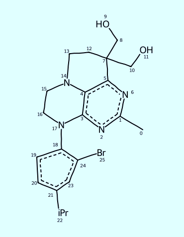 Cc1nc2c3c(n1)C(CO)(CO)CCN3CCN2c1ccc(C(C)C)cc1Br